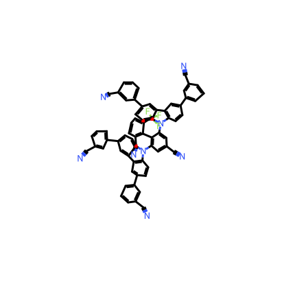 N#Cc1cccc(-c2ccc3c(c2)c2cc(-c4cccc(C#N)c4)ccc2n3-c2cc(C#N)cc(-n3c4ccc(-c5cccc(C#N)c5)cc4c4cc(-c5cccc(C#N)c5)ccc43)c2-c2c(C#N)cccc2C(F)(F)F)c1